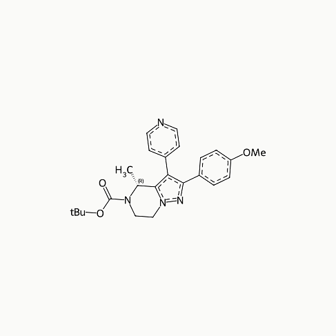 COc1ccc(-c2nn3c(c2-c2ccncc2)[C@@H](C)N(C(=O)OC(C)(C)C)CC3)cc1